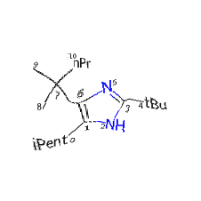 CCCC(C)c1[nH]c(C(C)(C)C)nc1C(C)(C)CCC